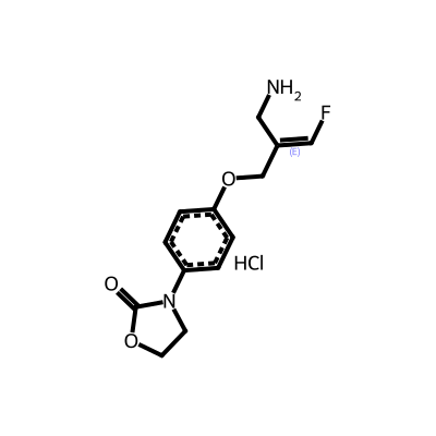 Cl.NC/C(=C\F)COc1ccc(N2CCOC2=O)cc1